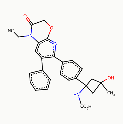 CC1(O)CC(NC(=O)O)(c2ccc(-c3nc4c(cc3-c3ccccc3)N(CC#N)C(=O)CO4)cc2)C1